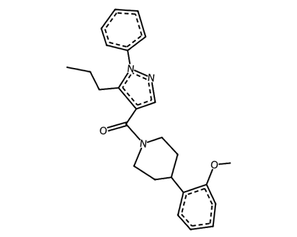 CCCc1c(C(=O)N2CCC(c3ccccc3OC)CC2)cnn1-c1ccccc1